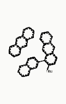 CC(C)(C)c1ccc2cc3ccccc3cc2c1-c1ccc2ccccc2c1.c1ccc2cc3ccccc3cc2c1